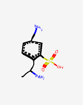 CC(N)c1ccc(N)cc1S(=O)(=O)O